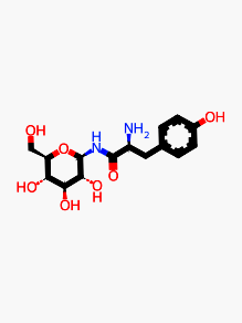 N[C@@H](Cc1ccc(O)cc1)C(=O)N[C@@H]1O[C@H](CO)[C@@H](O)[C@H](O)[C@H]1O